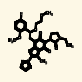 CCN1CCC(n2c(=O)c3c(C)c(-n4nccn4)sc3n(C[C@H](OCCOC)c3cc(F)ccc3OC)c2=O)C1=O